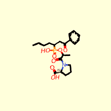 CCCCC(CC(=O)c1ccccc1)P(=O)(O)OC(C)C(=O)N1CCC[C@H]1C(=O)O